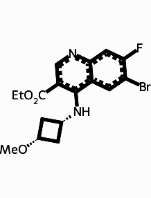 CCOC(=O)c1cnc2cc(F)c(Br)cc2c1N[C@H]1C[C@@H](OC)C1